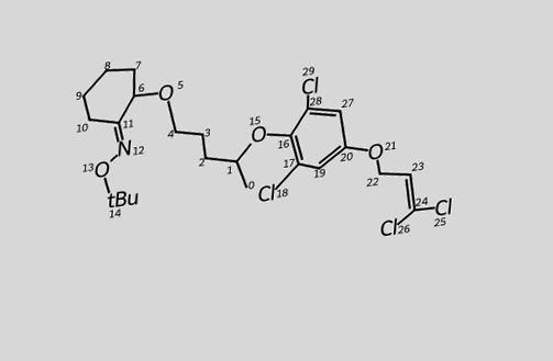 CC(CCCOC1CCCCC1=NOC(C)(C)C)Oc1c(Cl)cc(OCC=C(Cl)Cl)cc1Cl